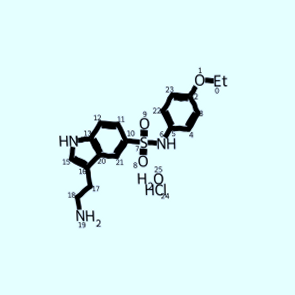 CCOc1ccc(NS(=O)(=O)c2ccc3[nH]cc(CCN)c3c2)cc1.Cl.O